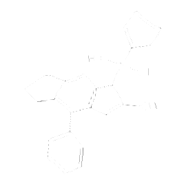 CC1=Cc2c(cc3c(c2-c2ccccc2)CCC3)C1[Si](C)(C)C1=CC=CC1